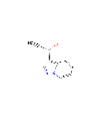 C#CC(O)c1cnn2ccccc12